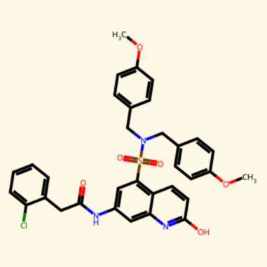 COc1ccc(CN(Cc2ccc(OC)cc2)S(=O)(=O)c2cc(NC(=O)Cc3ccccc3Cl)cc3nc(O)ccc23)cc1